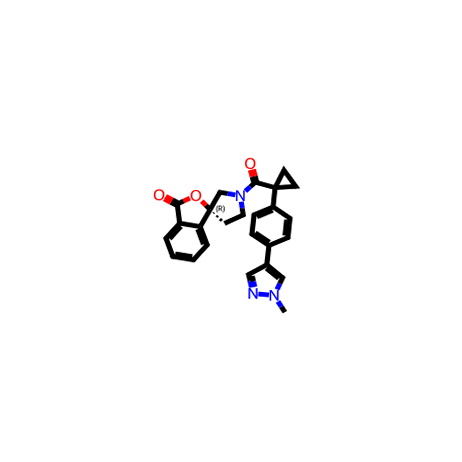 Cn1cc(-c2ccc(C3(C(=O)N4CC[C@@]5(C4)OC(=O)c4ccccc45)CC3)cc2)cn1